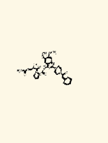 COc1cc2nc(N3CCN(C(=O)C=C4CCCCC4)CC3)nc(NC(=O)[C@@H]3CCCN3C(=O)C(C)CSC(C)=O)c2cc1OC